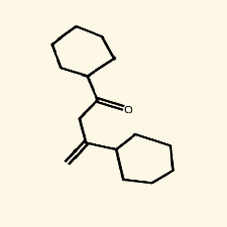 C=C(CC(=O)C1CCCCC1)C1CCCCC1